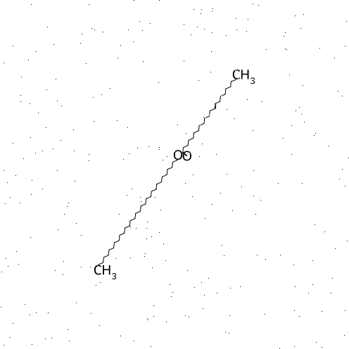 CCCCCCCCC=CCCCCCCCCCCCC(=O)OCCCCCCCCCCCCCCCCCCCCCCCCCCCCCCC